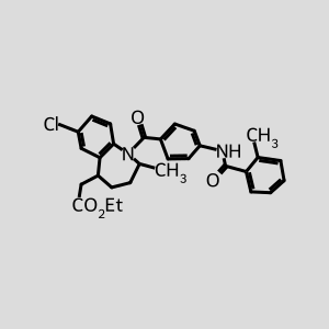 CCOC(=O)CC1CCC(C)N(C(=O)c2ccc(NC(=O)c3ccccc3C)cc2)c2ccc(Cl)cc21